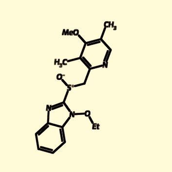 CCOn1c([S+]([O-])Cc2ncc(C)c(OC)c2C)nc2ccccc21